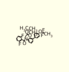 CC(C)(C)OC(=O)CN(C(=O)c1c(F)cccc1F)c1cccc(-c2ccc(OC(C)(F)F)cc2)c1